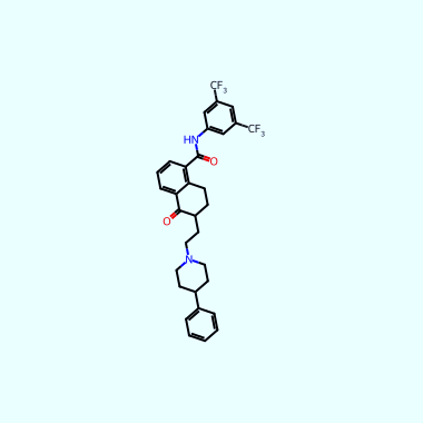 O=C(Nc1cc(C(F)(F)F)cc(C(F)(F)F)c1)c1cccc2c1CCC(CCN1CCC(c3ccccc3)CC1)C2=O